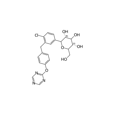 OCC1OC(c2ccc(Cl)c(Cc3ccc(Oc4ncncn4)cc3)c2)[C@H](O)C(O)[C@@H]1O